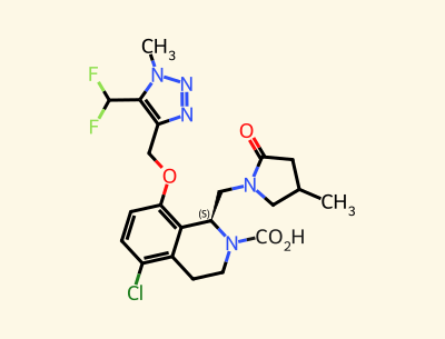 CC1CC(=O)N(C[C@@H]2c3c(OCc4nnn(C)c4C(F)F)ccc(Cl)c3CCN2C(=O)O)C1